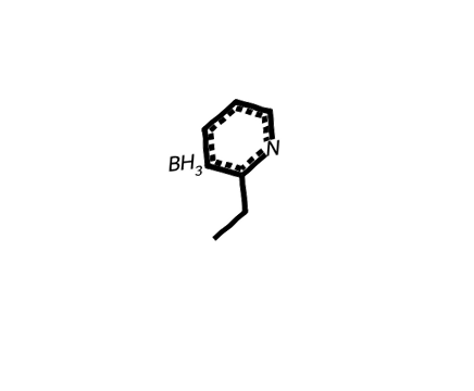 B.CCc1ccccn1